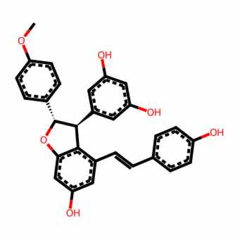 COc1ccc([C@H]2Oc3cc(O)cc(/C=C/c4ccc(O)cc4)c3[C@@H]2c2cc(O)cc(O)c2)cc1